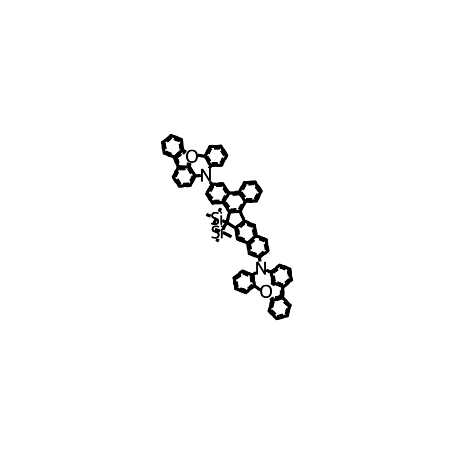 Cc1ccccc1N(c1ccc2cc3c(cc2c1)C([Si](C)(C)C)([Si](C)(C)C)c1c-3c2ccccc2c2cc(N(c3ccccc3C)c3cccc4c3oc3ccccc34)ccc12)c1cccc2c1oc1ccccc12